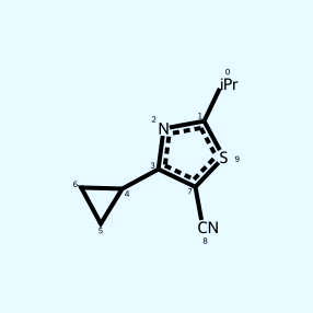 CC(C)c1nc(C2CC2)c(C#N)s1